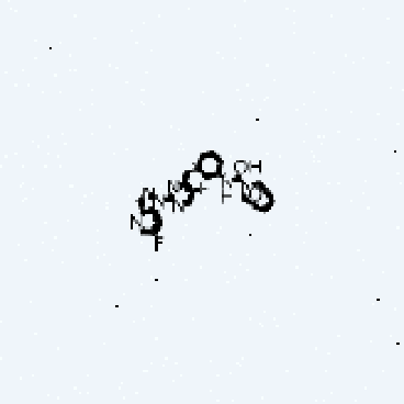 OC(N[C@@H]1CCC[C@H](Cc2nc(-n3ncc4ncc(F)cc43)ncc2F)C1)N1CC2CCC(C1)O2